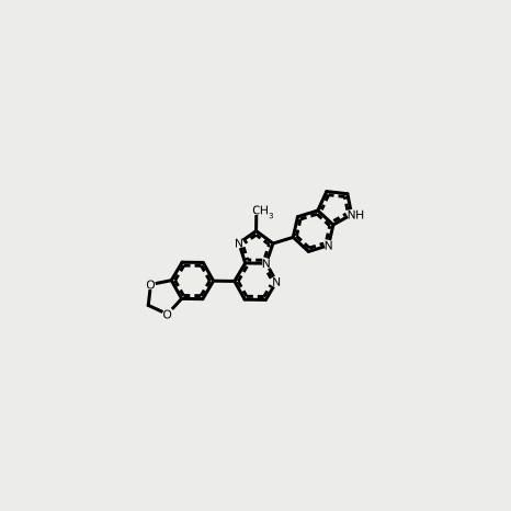 Cc1nc2c(-c3ccc4c(c3)OCO4)ccnn2c1-c1cnc2[nH]ccc2c1